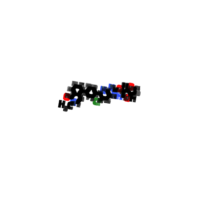 Cn1ccc2c(-c3ccc(-c4nc5nc(OC6CO[C@@H]7CCO[C@H]67)[nH]c5cc4Cl)cc3)cccc2c1=O